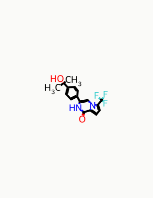 CC(C)(O)c1ccc(-c2cn3c(C(F)(F)F)ccc3c(=O)[nH]2)cc1